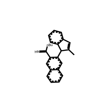 CCCCC(=N)c1cc2ccccc2cc1C1C(C)=Cc2ccccc21